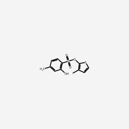 Cc1ccc(S(=O)(=O)Oc2sccc2I)c(O)c1